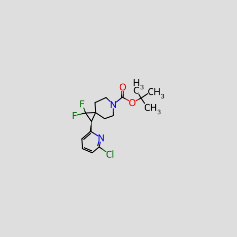 CC(C)(C)OC(=O)N1CCC2(CC1)[C@@H](c1cccc(Cl)n1)C2(F)F